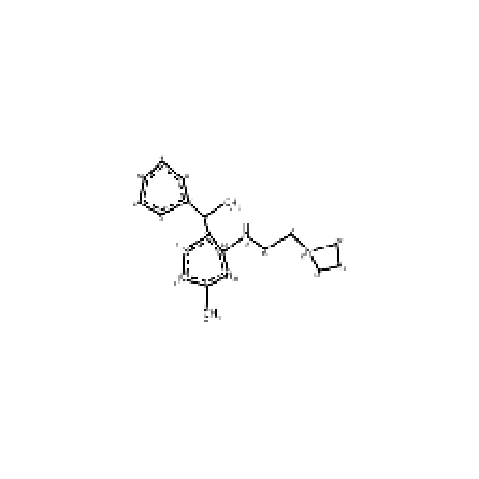 Cc1nnc(C(C)c2ccccc2)c(NCCN2CCC2)n1